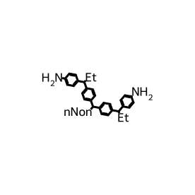 CCCCCCCCCC(c1ccc(C(CC)c2ccc(N)cc2)cc1)c1ccc(C(CC)c2ccc(N)cc2)cc1